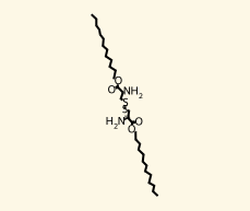 CCCCCCCCCCCCCOC(=O)C(N)CSSC[C@H](N)C(=O)OCCCCCCCCCCCCC